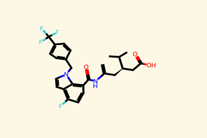 C=C(C[C@H](CC(=O)O)C(C)C)NC(=O)c1ccc(F)c2ccn(Cc3ccc(C(F)(F)F)cc3)c12